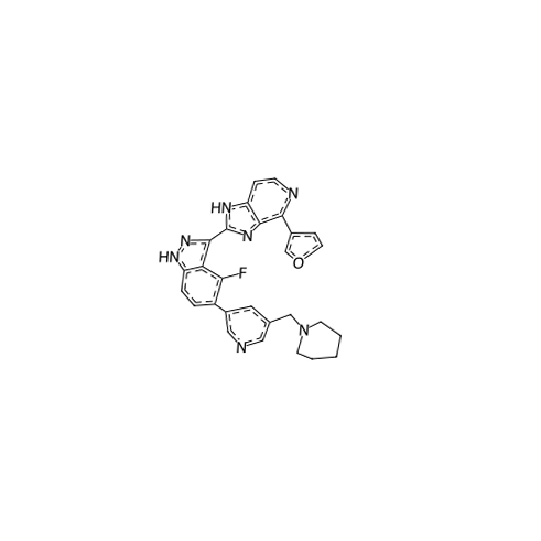 Fc1c(-c2cncc(CN3CCCCC3)c2)ccc2[nH]nc(-c3nc4c(-c5ccoc5)nccc4[nH]3)c12